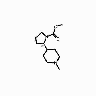 COC(=O)N1CCC[C@@H]1C1CCN(C)CC1